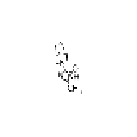 Cc1cnc(N2CCC3(CCCC3)CC2)c(=O)[nH]1